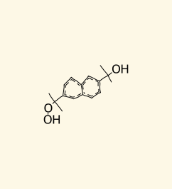 CC(C)(O)c1ccc2cc(C(C)(C)OO)ccc2c1